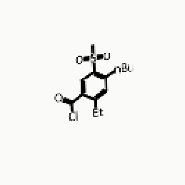 CCCCc1cc(CC)c(C(=O)Cl)cc1S(C)(=O)=O